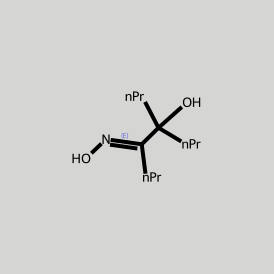 CCC/C(=N\O)C(O)(CCC)CCC